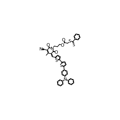 CC1=C(C#N)C(=O)N(CCCOC(=O)CSC(=S)c2ccccc2)C(=O)C1=Cc1ccc(-c2ccc(-c3ccc(N(c4ccccc4)c4ccccc4)cc3)s2)s1